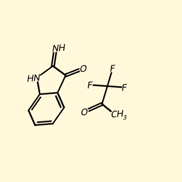 CC(=O)C(F)(F)F.N=C1Nc2ccccc2C1=O